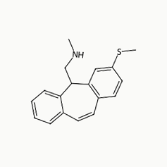 CNCC1c2ccccc2C=Cc2ccc(SC)cc21